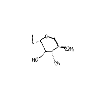 CC[C@@H]1OC[C@@H](O)[C@H](O)C1O